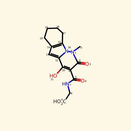 Cn1c(=O)c(C(=O)NCC(=O)O)c(O)c2cc3c(n21)CCCC3